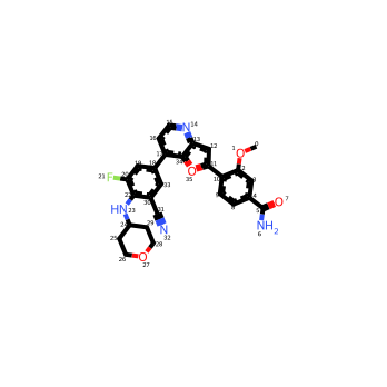 COc1cc(C(N)=O)ccc1-c1cc2nccc(-c3cc(F)c(NC4CCOCC4)c(C#N)c3)c2o1